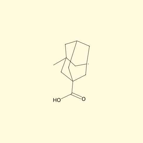 CC12C[C]3CC(C1)CC(C(=O)O)(C3)C2